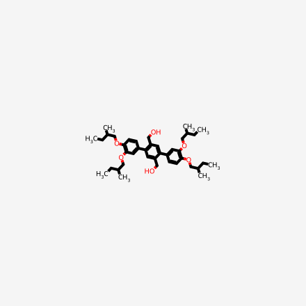 CCC(C)COc1ccc(-c2cc(CO)c(-c3ccc(OCC(C)CC)c(OCC(C)CC)c3)cc2CO)cc1OCC(C)CC